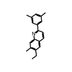 CCc1cc2ccc(-c3cc(C)cc(C)c3)nc2cc1C